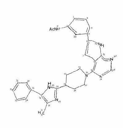 CC(=O)Nc1cccc(-c2cc3c(N4CCC(c5nc(C)c(-c6ccccc6)[nH]5)CC4)ncnc3[nH]2)c1